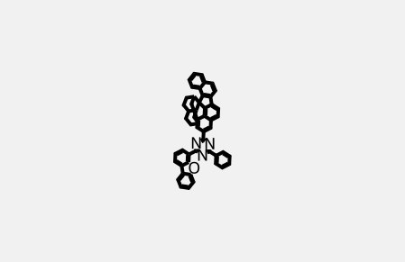 c1ccc(-c2nc(-c3ccc4c5c(ccc4c3)-c3ccc4ccccc4c3C53C4CCC5CCC(C4)CC53)nc(-c3cccc4c3oc3ccccc34)n2)cc1